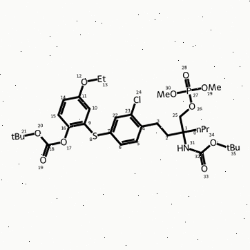 CCCC(CCc1ccc(Sc2cc(OCC)ccc2OC(=O)OC(C)(C)C)cc1Cl)(COP(=O)(OC)OC)NC(=O)OC(C)(C)C